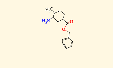 CC1CCC(C(=O)OCc2ccccc2)CC1N